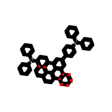 c1ccc(-c2cc(-c3ccc(N(c4ccccc4)c4ccccc4)cc3)cc(-c3ccc(N(c4ccccc4)c4ccccc4)cc3)c2-c2c(-c3ccccc3)ccc3ccccc23)cc1